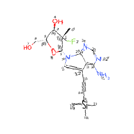 C[C@]1(F)[C@H](O)[C@@H](CO)O[C@H]1n1cc(C#C[Si](C)(C)C)c2c(N)ncnc21